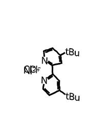 CC(C)(C)c1ccnc(-c2cc(C(C)(C)C)ccn2)c1.[Cl-].[Cl-].[Ni+2]